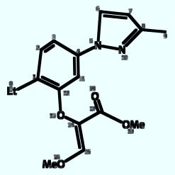 CCc1ccc(-n2ccc(C)n2)cc1O/C(=C\OC)C(=O)OC